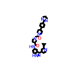 O=C(Nc1ccc2[nH]nc(-c3ccnc(C4CC4)c3)c2c1)C1CCN(CC(=O)N2CC=C(c3ccc(-c4ncccn4)cc3)CC2)C1